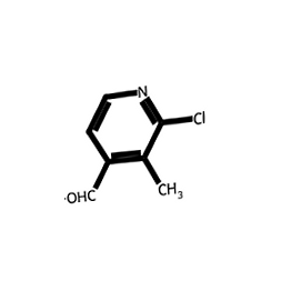 Cc1c([C]=O)ccnc1Cl